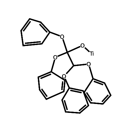 [Ti][O]C(Oc1ccccc1)(Oc1ccccc1)C(Oc1ccccc1)Oc1ccccc1